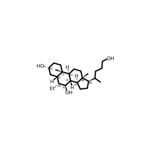 CC[C@H]1[C@H](O)[C@@H]2[C@H](CC[C@]3(C)[C@@H](C(C)CCCO)CC[C@@H]23)[C@@]2(C)CC[C@@H](O)C[C@@H]12